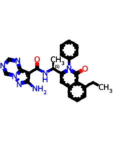 CCc1cccc2cc([C@H](C)NC(=O)c3c(N)nn4cncnc34)n(-c3ccccc3)c(=O)c12